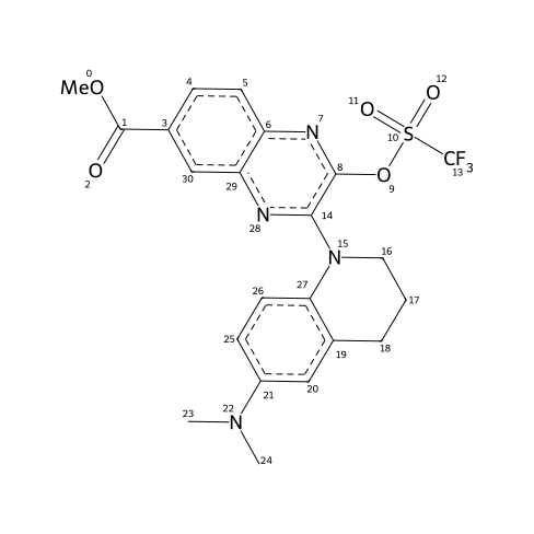 COC(=O)c1ccc2nc(OS(=O)(=O)C(F)(F)F)c(N3CCCc4cc(N(C)C)ccc43)nc2c1